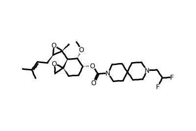 CO[C@@H]1[C@H](OC(=O)N2CCC3(CCN(CC(F)F)CC3)CC2)CC[C@]2(CO2)[C@H]1[C@@]1(C)O[C@@H]1CC=C(C)C